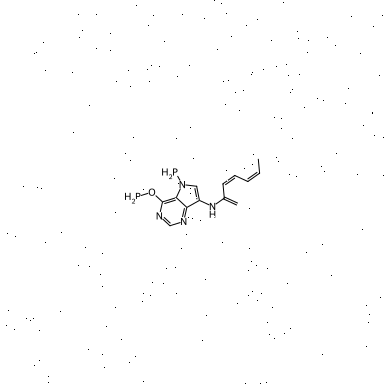 C=C(/C=C\C=C/C)Nc1cn(P)c2c(OP)ncnc12